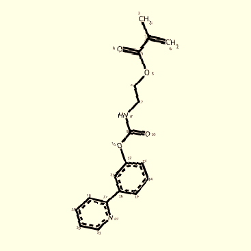 C=C(C)C(=O)OCCNC(=O)Oc1cccc(-c2ccccn2)c1